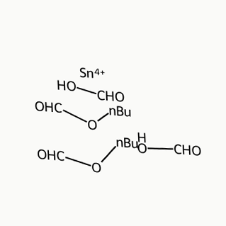 CCCCO[C-]=O.CCCCO[C-]=O.O=[C-]O.O=[C-]O.[Sn+4]